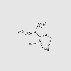 O=C(O)C(C(=O)O)c1ncncc1F